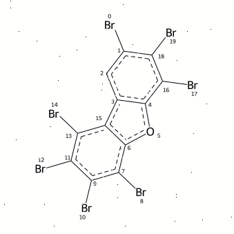 Brc1cc2c(oc3c(Br)c(Br)c(Br)c(Br)c32)c(Br)c1Br